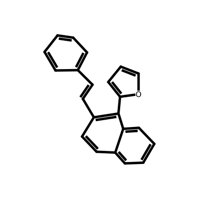 C(=Cc1ccc2ccccc2c1-c1ccco1)c1ccccc1